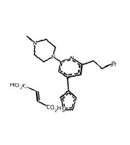 CC(C)CCc1cc(-c2ccsc2)cc(N2CCN(C)CC2)n1.O=C(O)/C=C/C(=O)O